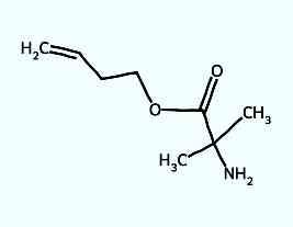 C=CCCOC(=O)C(C)(C)N